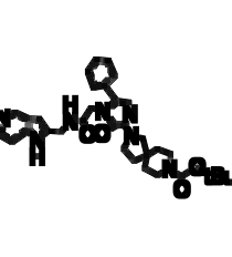 CC(C)(C)OC(=O)N1CCC2(CC1)CCN(c1ncc(-c3ccccc3)n(CC(=O)NCc3cc4cnccc4[nH]3)c1=O)C2